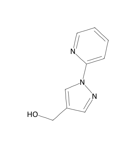 OCc1cnn(-c2ccccn2)c1